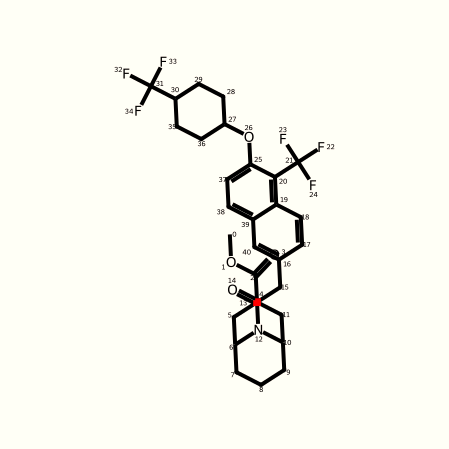 COC(=O)C1CC2CCCC(C1)N2C(=O)Cc1ccc2c(C(F)(F)F)c(OC3CCC(C(F)(F)F)CC3)ccc2c1